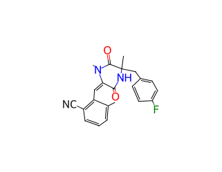 Cc1cccc(C#N)c1/C=C1\C(=O)NC(C)(Cc2ccc(F)cc2)C(=O)N1C